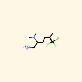 CC(CCC(CN)N(C)C)C(F)(F)F